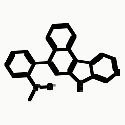 C[S+]([O-])c1ccccc1-c1cc2[nH]c3cnccc3c2c2ccccc12